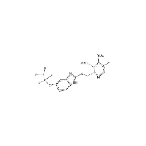 COc1c(C)cnc(CSc2nc3cc(OC(F)(F)C(F)F)ccc3[nH]2)c1OC